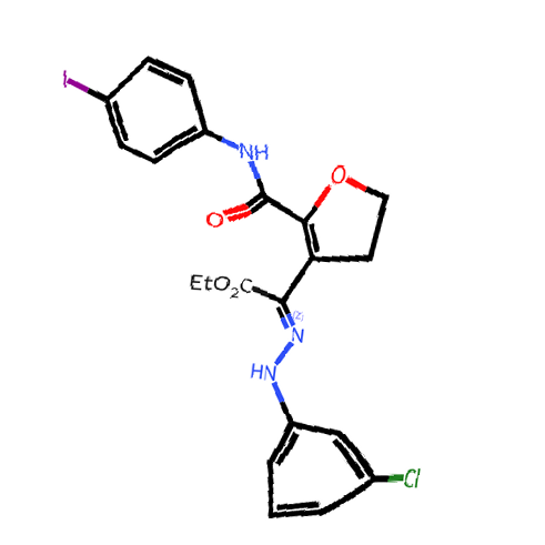 CCOC(=O)/C(=N\Nc1cccc(Cl)c1)C1=C(C(=O)Nc2ccc(I)cc2)OCC1